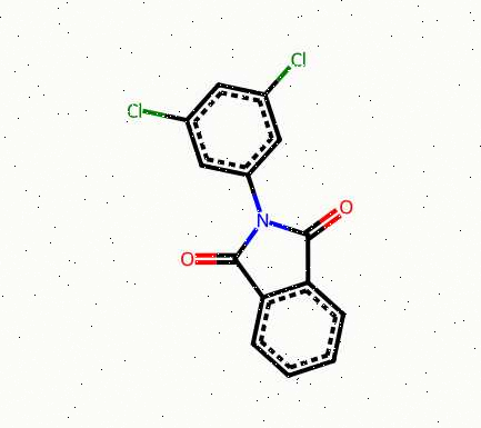 O=C1c2ccccc2C(=O)N1c1cc(Cl)cc(Cl)c1